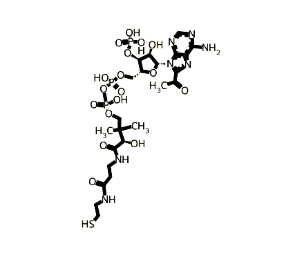 CC(=O)c1nc2c(N)ncnc2n1[C@@H]1O[C@H](COP(=O)(O)OP(=O)(O)OCC(C)(C)[C@@H](O)C(=O)NCCC(=O)NCCS)[C@@H](OP(=O)(O)O)[C@H]1O